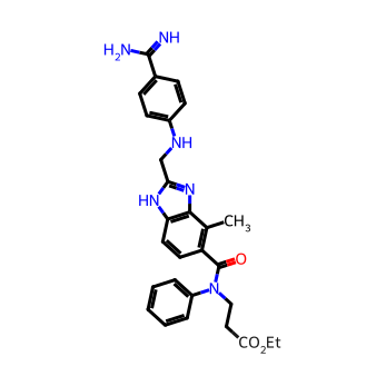 CCOC(=O)CCN(C(=O)c1ccc2[nH]c(CNc3ccc(C(=N)N)cc3)nc2c1C)c1ccccc1